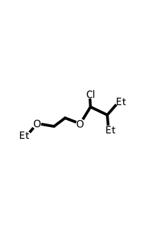 CCOCCOC(Cl)C(CC)CC